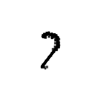 Cn1cc(NC(=O)c2nc(NC(=O)CCNC(=O)c3cc(NC(=O)c4nccn4C)cn3C)cn2C)cc1C(=O)NCCC(=O)Nc1cn(C)c(C(=O)NCCC(=O)NCCOCCOCCOCCOCCOCCOCCOCCOCCC(=O)O)n1